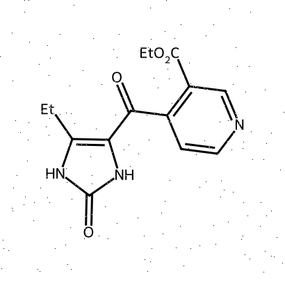 CCOC(=O)c1cnccc1C(=O)c1[nH]c(=O)[nH]c1CC